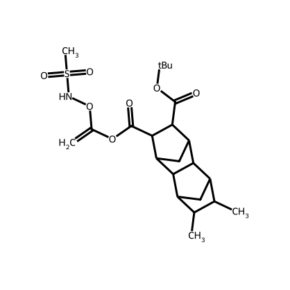 C=C(ONS(C)(=O)=O)OC(=O)C1C2CC(C1C(=O)OC(C)(C)C)C1C3CC(C(C)C3C)C21